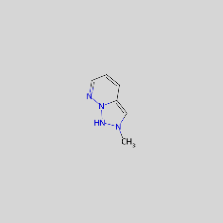 CN1C=C2C=CC=NN2N1